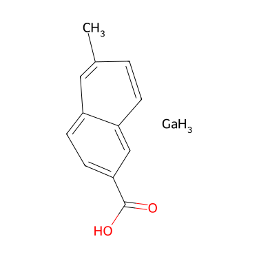 Cc1ccc2cc(C(=O)O)ccc2c1.[GaH3]